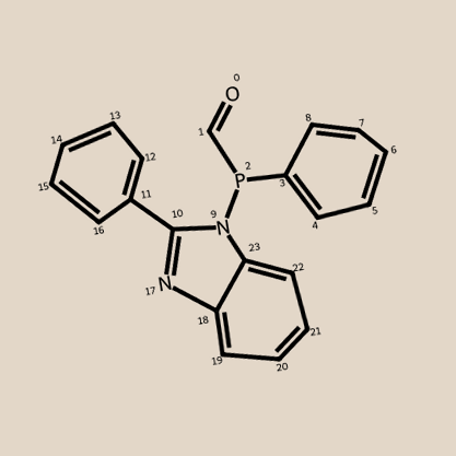 O=CP(c1ccccc1)n1c(-c2ccccc2)nc2ccccc21